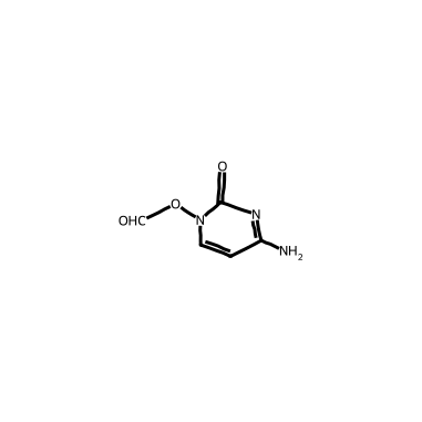 Nc1ccn(OC=O)c(=O)n1